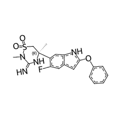 CN1C(=N)N[C@](C)(c2cc3[nH]c(Oc4ccccc4)cc3cc2F)CS1(=O)=O